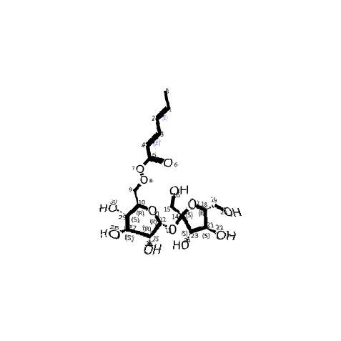 C/C=C/C=C/C(=O)OOC[C@H]1O[C@H](O[C@]2(CO)O[C@H](CO)[C@@H](O)[C@@H]2O)[C@H](O)[C@@H](O)[C@@H]1O